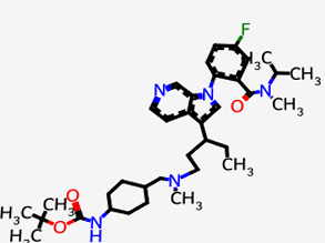 CCC(CCN(C)CC1CCC(NC(=O)OC(C)(C)C)CC1)c1cn(-c2ccc(F)cc2C(=O)N(C)C(C)C)c2cnccc12